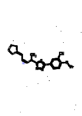 CC(C)Oc1ccc(-c2nnc(C(C)/C=C\C=C3CCCC3)s2)cc1C#N